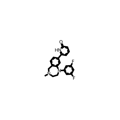 CN1CCN(c2cc(F)cc(F)c2)c2cc(-c3cccc(=O)[nH]3)ccc2C1